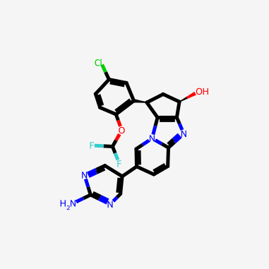 Nc1ncc(-c2ccc3nc4c(n3c2)[C@@H](c2cc(Cl)ccc2OC(F)F)C[C@H]4O)cn1